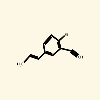 C#Cc1cc(/C=C/C)ccc1CC